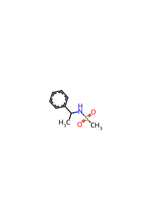 CC(NS(C)(=O)=O)c1ccccc1